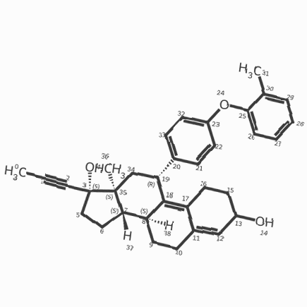 CC#C[C@]1(O)CC[C@H]2[C@@H]3CCC4=CC(O)CCC4=C3[C@@H](c3ccc(Oc4ccccc4C)cc3)C[C@@]21C